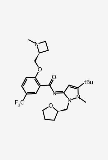 CN1CC[C@H]1COc1ccc(C(F)(F)F)cc1C(=O)/N=c1\cc(C(C)(C)C)n(C)n1C[C@H]1CCCO1